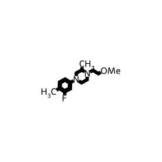 COCCN1CCN(c2ccc(C)c(F)c2)CC1C